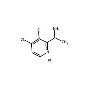 CC(N)c1nccc(Cl)c1Cl.[Pt]